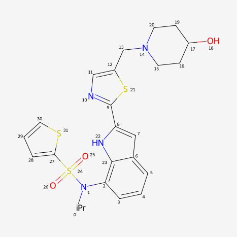 CC(C)N(c1cccc2cc(-c3ncc(CN4CCC(O)CC4)s3)[nH]c12)S(=O)(=O)c1cccs1